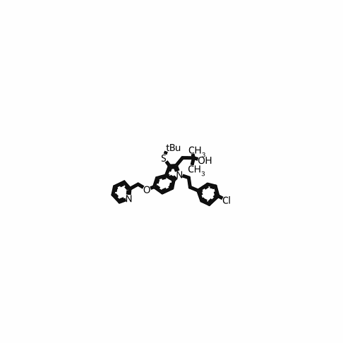 CC(C)(O)Cc1c(SC(C)(C)C)c2cc(OCc3ccccn3)ccc2n1CCc1ccc(Cl)cc1